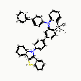 C[Si]1(C)c2ccccc2N(c2ccc(-c3ccccc3)cc2)c2cc(-c3ccc(-n4c5ccccc5c5sc6ccccc6c54)cc3)ccc21